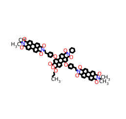 CCCCOC(=O)c1ccc2c3c(Oc4ccc(CCN5C(=O)c6ccc7c8ccc9c%10c(ccc(c%11ccc(c6c7%11)C5=O)c%108)C(=O)N(C(C)C)C9=O)cc4)cc4c5c(ccc(c6c(Oc7ccc(CCN8C(=O)c9ccc%10c%11ccc%12c%13c(ccc(c%14ccc(c9c%10%14)C8=O)c%13%11)C(=O)N(C(C)C)C%12=O)cc7)cc(C=O)c1c26)c53)C(=O)N(C1CCCCC1)C4=O